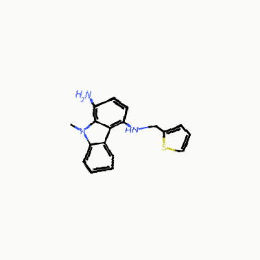 Cn1c2ccccc2c2c(NCc3cccs3)ccc(N)c21